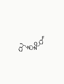 C=CC(CCN1CCC(N(C)C(=O)Cc2ccc(F)cc2)CC1)c1ccccc1